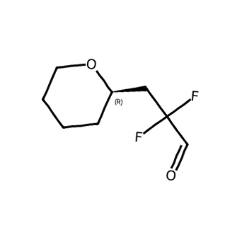 O=CC(F)(F)C[C@H]1CCCCO1